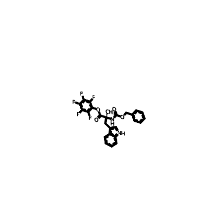 C[C@@](Cc1c[nH]c2ccccc12)(NC(=O)OCc1ccccc1)C(=O)Oc1c(F)c(F)c(F)c(F)c1F